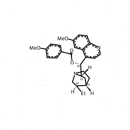 CC[C@H]1CN2CC[C@H]1C[C@H]2[C@H](OC(=O)c1ccc(OC)cc1)c1ccnc2ccc(OC)cc12